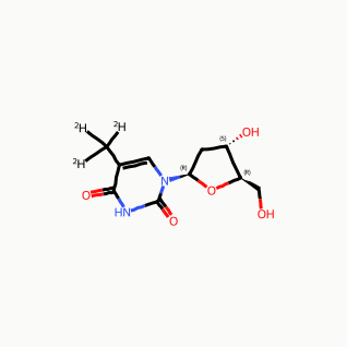 [2H]C([2H])([2H])c1cn([C@H]2C[C@H](O)[C@@H](CO)O2)c(=O)[nH]c1=O